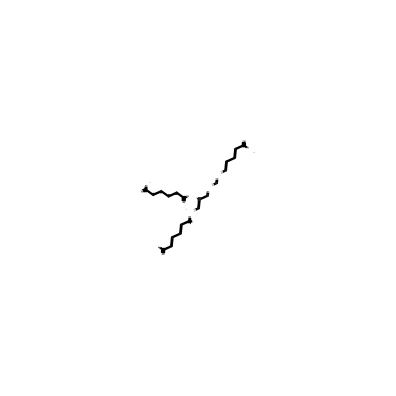 O=C(S)CCCCOCOCC(COC(=O)CCCCC(=O)S)OC(=O)CCCCC(=O)S